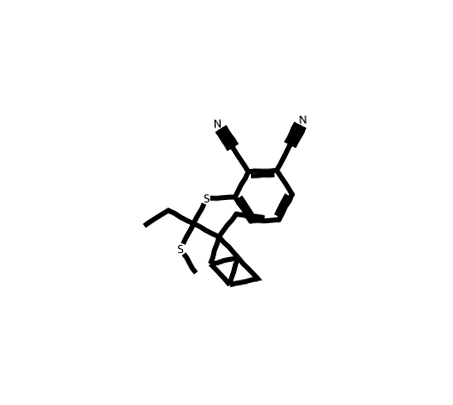 CCC(SC)(Sc1cccc(C#N)c1C#N)C1(CC)C2C3CC321